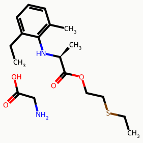 CCSCCOC(=O)[C@H](C)Nc1c(C)cccc1CC.NCC(=O)O